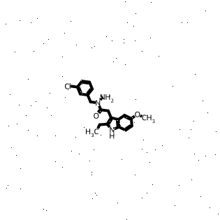 CCc1[nH]c2ccc(OC)cc2c1CC(=O)N(N)Cc1cccc(Cl)c1